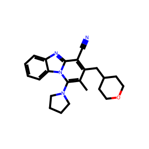 Cc1c(CC2CCOCC2)c(C#N)c2nc3ccccc3n2c1N1CCCC1